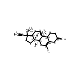 C#CC1(O)CC[C@H]2[C@@H]3CC(F)=C4CC(=O)CC[C@]4(C)C3=CC[C@@]21C